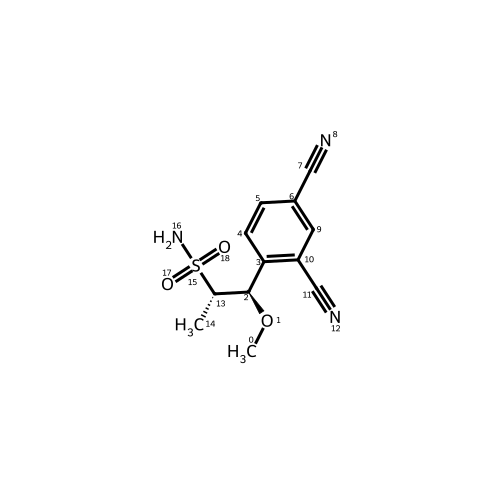 CO[C@H](c1ccc(C#N)cc1C#N)[C@H](C)S(N)(=O)=O